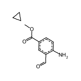 C1CC1.COC(=O)c1ccc(N)c(C=O)c1